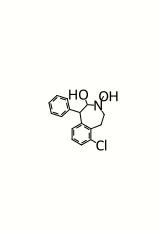 OC1C(c2ccccc2)c2cccc(Cl)c2CCN1O